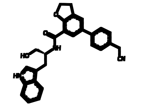 N#CCc1ccc(-c2cc3c(c(C(=O)N[C@@H](CO)Cc4c[nH]c5ccccc45)c2)OCC3)cc1